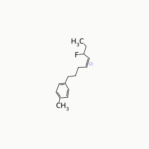 CCC(F)/C=C\CCCc1ccc(C)cc1